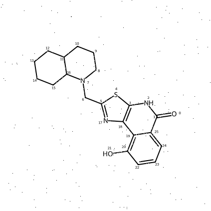 O=c1[nH]c2sc(CN3CCCC4CCCCC43)nc2c2c(O)cccc12